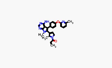 C=CC(=O)N1CC=C(c2c(-c3ccc(Oc4cccc(C)n4)cc3)c3c(N)ncnc3n2C)[C@H]1C